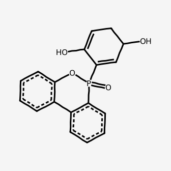 O=P1(C2=CC(O)CC=C2O)Oc2ccccc2-c2ccccc21